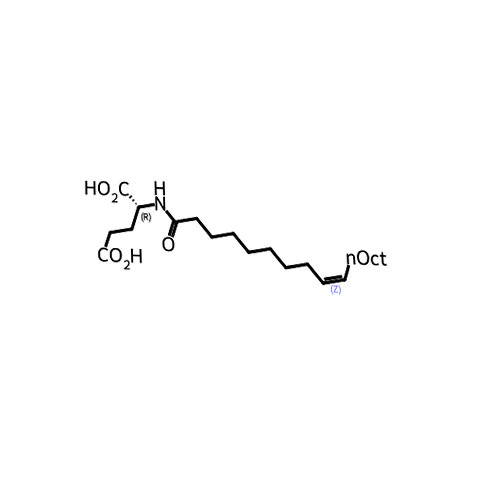 CCCCCCCC/C=C\CCCCCCCC(=O)N[C@H](CCC(=O)O)C(=O)O